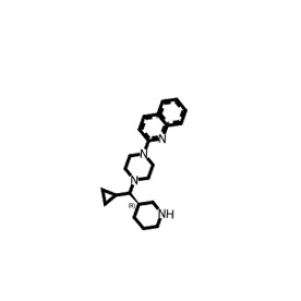 c1ccc2nc(N3CCN(C(C4CC4)[C@@H]4CCCNC4)CC3)ccc2c1